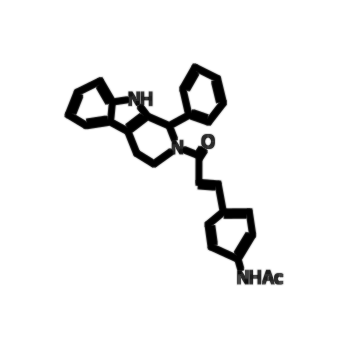 CC(=O)Nc1ccc(/C=C/C(=O)N2CCc3c([nH]c4ccccc34)C2c2ccccc2)cc1